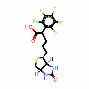 O=C1N[C@H]2[C@H](CS[C@H]2CCCC(C(=O)O)c2c(F)c(F)c(F)c(F)c2F)N1